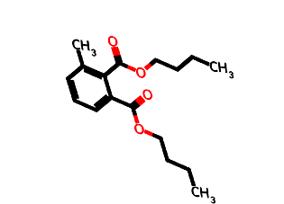 CCCCOC(=O)c1cccc(C)c1C(=O)OCCCC